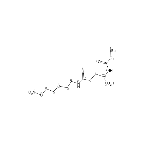 CC(C)(C)OC(=O)N[C@@H](CCC(=O)NCCOCCO[N+](=O)[O-])C(=O)O